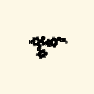 COc1ccc2nc(CC(=O)N3CCNCC3COc3cccnc3)sc2c1